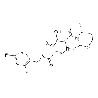 C[C@@H]1CCOC2Cn3cc(C(=O)NCc4ccc(F)cc4F)c(=O)c(O)c3C(=O)N21